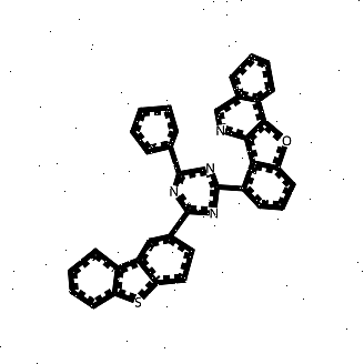 c1ccc(-c2nc(-c3ccc4sc5ccccc5c4c3)nc(-c3cccc4oc5c6ccccc6cnc5c34)n2)cc1